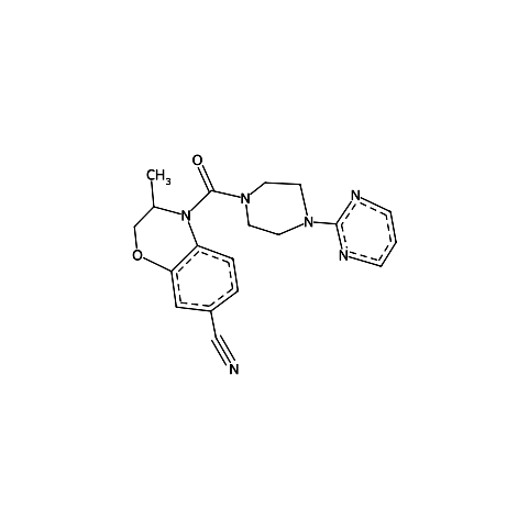 CC1COc2cc(C#N)ccc2N1C(=O)N1CCN(c2ncccn2)CC1